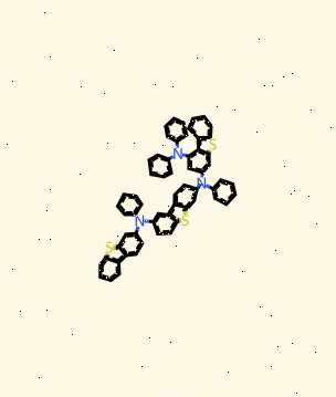 c1ccc(N(c2ccc3c(c2)sc2ccc(N(c4ccccc4)c4ccc5c(c4)sc4ccccc45)cc23)c2cc(N(c3ccccc3)c3ccccc3)c3c(c2)sc2ccccc23)cc1